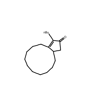 CCCCC1=C2CCCCCCCCCCC2CC1=O